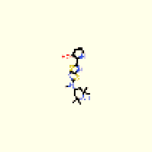 CN(c1nc2sc(-c3ncccc3O)nc2s1)C1CC(C)(C)NC(C)(C)C1